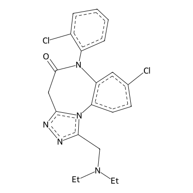 CCN(CC)Cc1nnc2n1-c1ccc(Cl)cc1N(c1ccccc1Cl)C(=O)C2